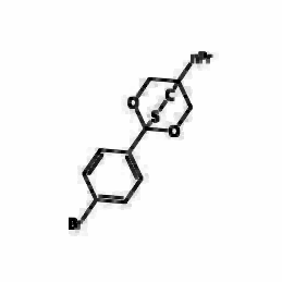 CCCC12COC(c3ccc(Br)cc3)(OC1)SC2